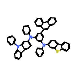 c1ccc(N(c2cc(-c3cc4ccccc4c4ccccc34)cc(N(c3ccccc3)c3ccc4c5ccccc5n(-c5ccccc5)c4c3)c2)c2ccc3c(c2)sc2ccccc23)cc1